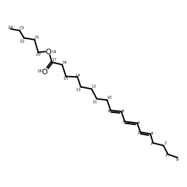 CCCCC=CC=CC=CCCCCCCCC(=O)OCCCCC